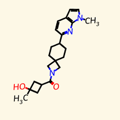 Cn1ccc2ccc(C3CCC4(CC3)CN(C(=O)C3CC(C)(O)C3)C4)nc21